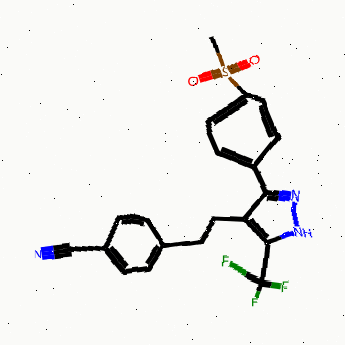 CS(=O)(=O)c1ccc(-c2n[nH]c(C(F)(F)F)c2CCc2ccc(C#N)cc2)cc1